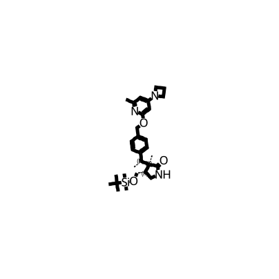 Cc1cc(N2CCC2)cc(OCc2ccc([C@@H](C)[C@@]3(C)C(=O)NC[C@@H]3CO[Si](C)(C)C(C)(C)C)cc2)n1